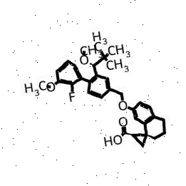 COc1cccc(-c2ccc(COc3ccc4c(c3)[C@]3(CCC4)C[C@H]3C(=O)O)cc2[C@H](OC)C(C)(C)C)c1F